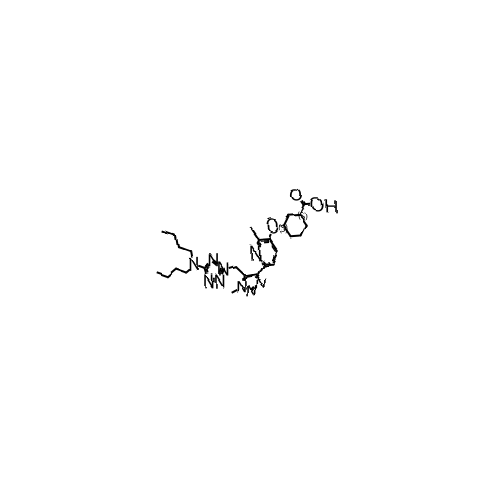 CCCCN(CCCC)c1nnn(Cc2c(-c3ccc(O[C@H]4CCC[C@H](C(=O)O)C4)c(C)n3)nnn2C)n1